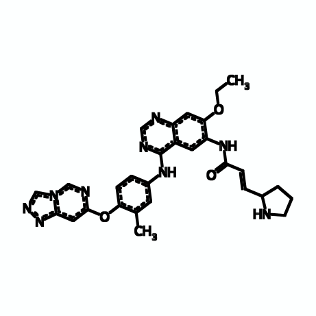 CCOc1cc2ncnc(Nc3ccc(Oc4cc5nncn5cn4)c(C)c3)c2cc1NC(=O)/C=C/C1CCCN1